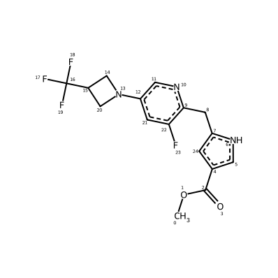 COC(=O)c1c[nH]c(Cc2ncc(N3CC(C(F)(F)F)C3)cc2F)c1